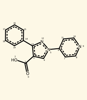 O=C(O)c1cn(-c2ccncc2)nc1-c1ccccc1